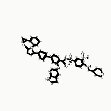 O=C(NS(=O)(=O)c1ccc(NCC2CCOCC2)c([N+](=O)[O-])c1)c1ccc(-c2ccc(C3CCC(=O)N3c3ccccc3C3CC3)cc2)cc1Oc1cnc2[nH]ccc2c1